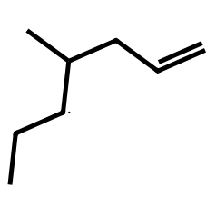 C=CCC(C)[CH]CC